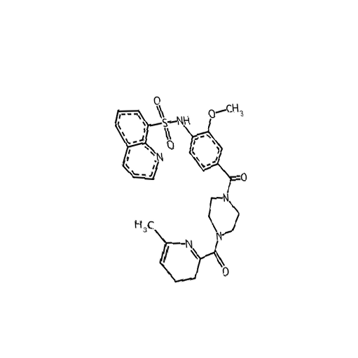 COc1cc(C(=O)N2CCN(C(=O)C3=NC(C)=CCC3)CC2)ccc1NS(=O)(=O)c1cccc2cccnc12